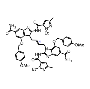 CCn1nc(C)cc1C(=O)NC1=Nc2cc(C(N)=O)cc(OCc3ccc(OC)cc3)c2C1C/C=C/Cn1c(NC(=O)c2cc(C)nn2CC)nc2cc(C(N)=O)cc(OCc3ccc(OC)cc3)c21